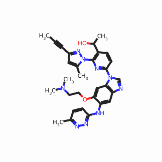 CC#Cc1cc(C)n(-c2nc(-n3cnc4cc(Nc5ccc(C)nn5)c(OCCN(C)C)cc43)ccc2C(C)O)n1